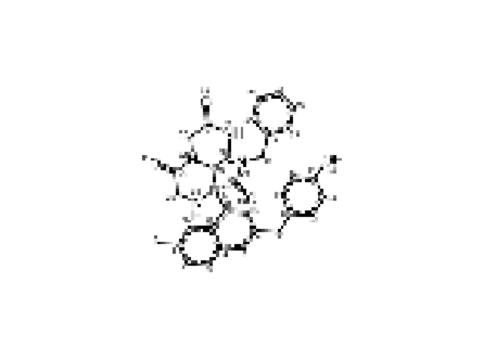 Cc1ccc2cc(Cc3ccc(O)cc3)cc([N+]3(C(=O)NCc4ccccc4)NCC(=O)N4CC(=O)NCC43)c2c1